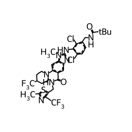 Cc1nc(C(F)(F)F)c(CNC(=O)c2cc3nc(Nc4c(Cl)ccc(CNC(=O)C(C)(C)C)c4Cl)n(C)c3cc2N2CCC(C(F)(F)F)CC2)s1